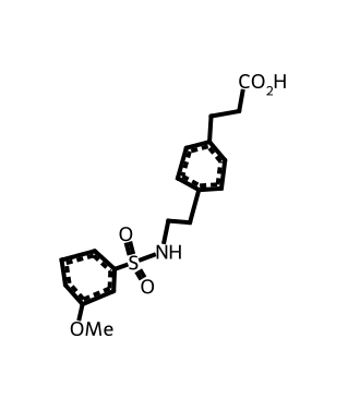 COc1cccc(S(=O)(=O)NCCc2ccc(CCC(=O)O)cc2)c1